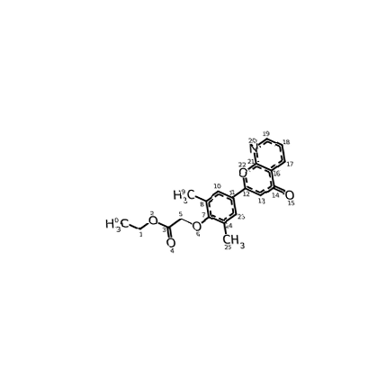 CCOC(=O)COc1c(C)cc(-c2cc(=O)c3cccnc3o2)cc1C